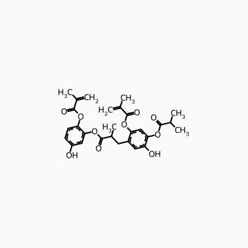 C=C(C)C(=O)Oc1cc(OC(=O)C(C)C)c(O)cc1CC(C)C(=O)Oc1cc(O)ccc1OC(=O)C(=C)C